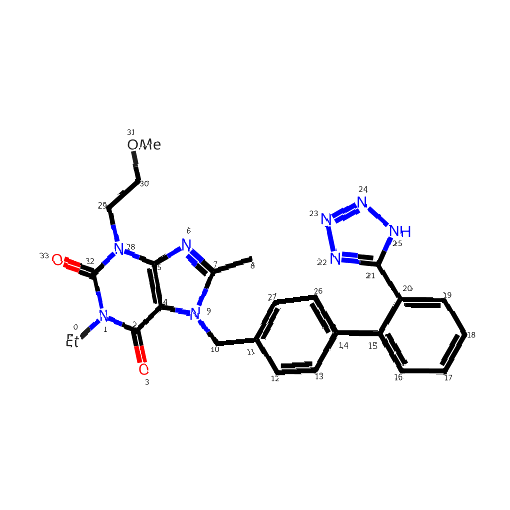 CCn1c(=O)c2c(nc(C)n2Cc2ccc(-c3ccccc3-c3nnn[nH]3)cc2)n(CCOC)c1=O